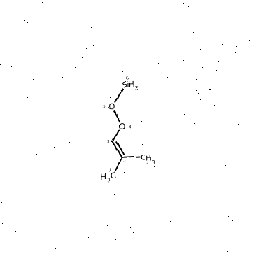 CC(C)=COO[SiH3]